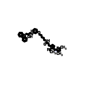 CB(F)n1c(/C=C2\N=C(C)C=C2C)ccc1CCC(=O)NCCCCCOc1cccc(NCC(O)Cn2c3ccccc3c3ccccc32)c1